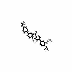 COc1ccc(-c2ccc3c(c2)N(C)c2ccc(-c4ccc(OC(F)(F)F)cc4)cc2N3C)cc1OC